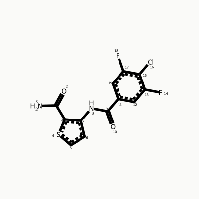 NC(=O)c1sccc1NC(=O)c1cc(F)c(Cl)c(F)c1